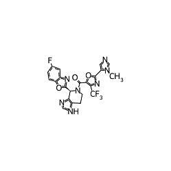 Cn1cncc1-c1nc(C(F)(F)F)c(C(=O)N2CCc3[nH]cnc3[C@H]2c2nc3cc(F)ccc3o2)o1